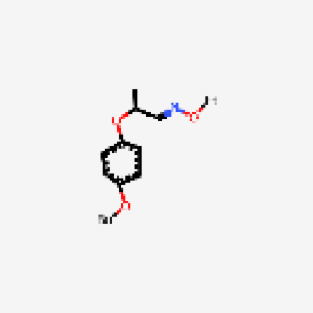 CCON=CC(C)Oc1ccc(OC(C)CC)cc1